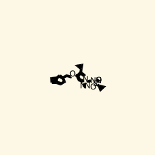 O=S(=O)(Nc1nnc2cc(OCCC3=C4C5CC4C5=CC3)c(C3CC3)cn12)C1CC1